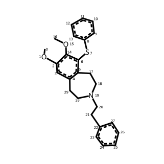 COc1cc2c(c(Sc3ccccc3)c1OC)CCN(CCc1ccccc1)CC2